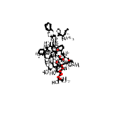 CC[C@H](C)[C@H](N)C(=O)N[C@@H](Cc1ccccc1)C(=O)N[C@@H](C)C(=O)N[C@@H](Cc1c[nH]c2ccccc12)C(=O)N1CCC[C@H]1C(=O)N[C@@H](Cc1c[nH]cn1)C(=O)N[C@@H](CCCCN)C(=O)N[C@@H](CC(=O)O)C(=O)N[C@@H](CC(N)=O)C(=O)N[C@@H](CC(N)=O)C(=O)NCC(=O)N[C@H](C(=O)N[C@@H](CCC(=O)O)C(=O)O)[C@@H](C)CC